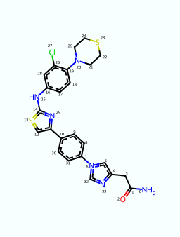 NC(=O)Cc1cn(-c2ccc(-c3csc(Nc4ccc(N5CCSCC5)c(Cl)c4)n3)cc2)cn1